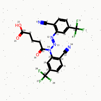 N#Cc1ccc(C(F)(F)F)cc1/N=N/N(C(=O)CCCC(=O)O)c1cc(C(F)(F)F)ccc1C#N